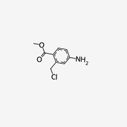 COC(=O)c1ccc(N)cc1CCl